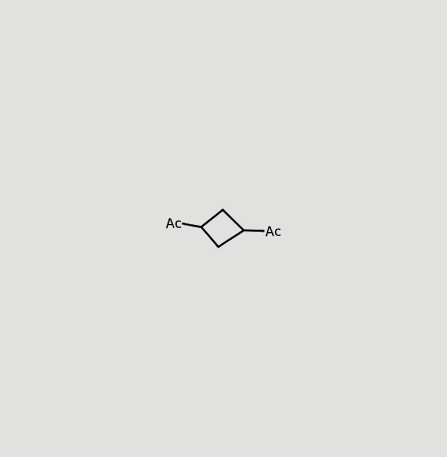 CC(=O)C1CC(C(C)=O)C1